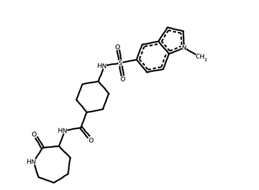 Cn1ccc2cc(S(=O)(=O)NC3CCC(C(=O)NC4CCCCNC4=O)CC3)ccc21